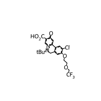 CC(C)(C)N1Cc2cc(OCCOCC(F)(F)F)c(Cl)cc2-c2cc(=O)c(C(=O)O)cn21